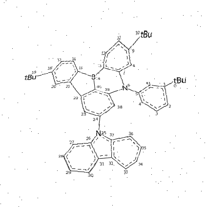 CC(C)(C)c1cccc(N2c3cc(C(C)(C)C)ccc3B3c4ccc(C(C)(C)C)cc4-c4cc(-n5c6ccccc6c6ccccc65)cc2c43)c1